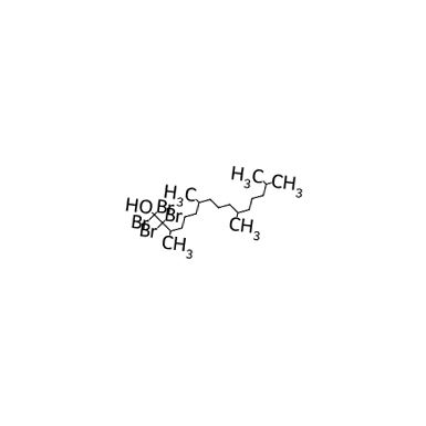 CC(C)CCCC(C)CCCC(C)CCCC(C)C(Br)(Br)C(O)(Br)Br